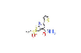 CCC[S+]([O-])c1cc2c(C(N)=O)cc(-c3cccs3)nc2s1